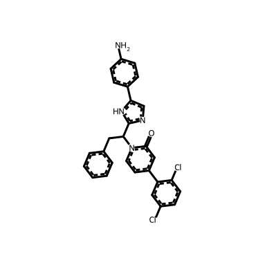 Nc1ccc(-c2cnc(C(Cc3ccccc3)n3ccc(-c4cc(Cl)ccc4Cl)cc3=O)[nH]2)cc1